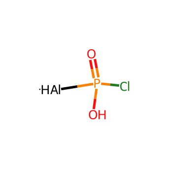 O=[P](O)([AlH])Cl